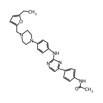 CCc1ccc(CN2CCN(c3ccc(Nc4nccc(-c5ccc(NC(C)=O)cc5)n4)cc3)CC2)o1